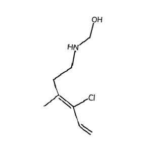 C=C/C(Cl)=C(\C)CCNCO